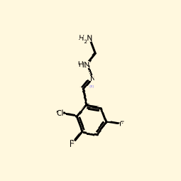 NCN/N=C/c1cc(F)cc(F)c1Cl